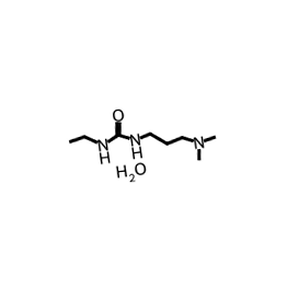 CCNC(=O)NCCCN(C)C.O